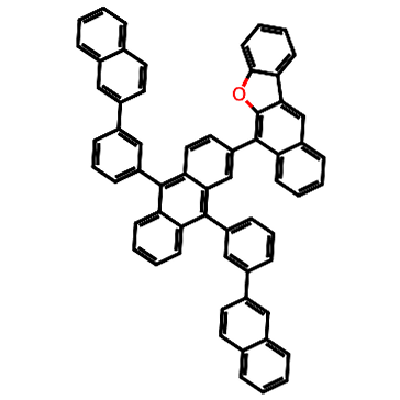 c1cc(-c2ccc3ccccc3c2)cc(-c2c3ccccc3c(-c3cccc(-c4ccc5ccccc5c4)c3)c3cc(-c4c5ccccc5cc5c4oc4ccccc45)ccc23)c1